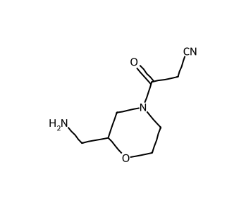 N#CCC(=O)N1CCOC(CN)C1